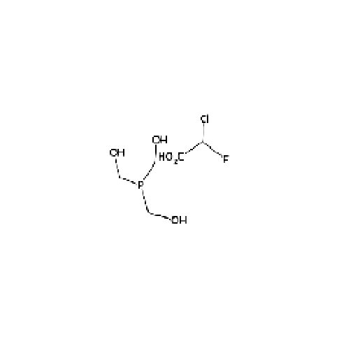 O=C(O)C(F)Cl.OCP(CO)CO